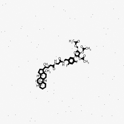 CC(=O)OC[C@H]1O[C@@H](c2cc(CNC(=O)CNC(=O)CC[C@@H](C)C3CC[C@@H]4C5CC[C@H]6CCCC[C@@]6(C)[C@@H]5CC[C@@]34C)c(F)cc2F)C(OC(C)=O)[C@H]1OC(C)=O